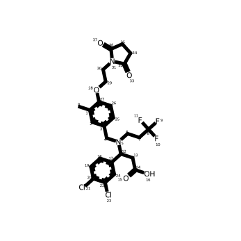 Cc1cc(CN(CCC(F)(F)F)C(CC(=O)O)c2ccc(Cl)c(Cl)c2)ccc1OCCN1C(=O)CCC1=O